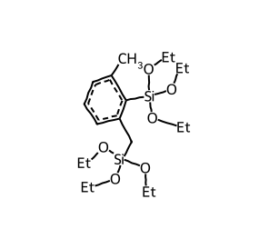 CCO[Si](Cc1cccc(C)c1[Si](OCC)(OCC)OCC)(OCC)OCC